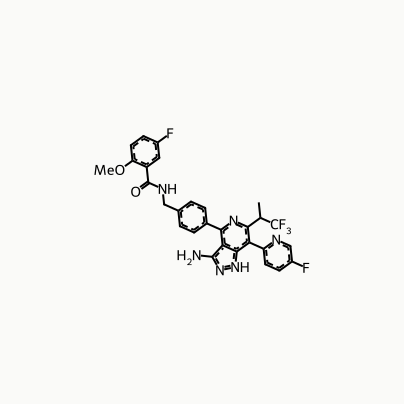 COc1ccc(F)cc1C(=O)NCc1ccc(-c2nc(C(C)C(F)(F)F)c(-c3ccc(F)cn3)c3[nH]nc(N)c23)cc1